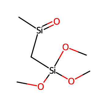 CO[Si](C[Si](C)=O)(OC)OC